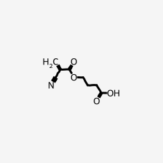 C=C(C#N)C(=O)OCCCC(=O)O